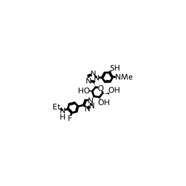 CCNc1ccc(-c2cn([C@H]3[C@@H](O)[C@@H](CO)O[C@@H](c4ncnn4-c4ccc(NC)c(S)c4)[C@@H]3O)nn2)cc1F